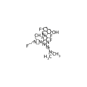 CCC1CN(c2nc(N3CC(N(CC)CC)C3)nc3c(C(F)F)c(-c4cc(O)cc5ccc(F)c(F)c45)ncc23)CCN1CCCF